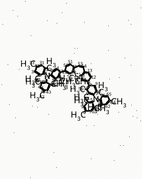 Cc1cc(C)c(N(c2ccc(-c3ccc4c(c3)[Si](C)(C)c3cc(-c5ccc(N(c6c(C)cc(C)cc6C)c6c(C)cc(C)cc6C)c(C)c5C)ccc3C=C4)c(C)c2C)c2c(C)cc(C)cc2C)c(C)c1